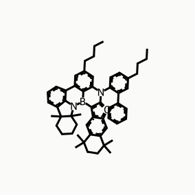 CCCCc1ccc(N2c3cc(CCCC)cc4c3B(c3c2oc2cc5c(cc32)C(C)(C)CCC5(C)C)N2c3c-4cccc3C3(C)CCCCC23C)c(-c2ccccc2)c1